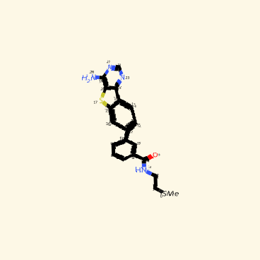 CSCCNC(=O)c1cccc(-c2ccc3c(c2)sc2c(N)ncnc23)c1